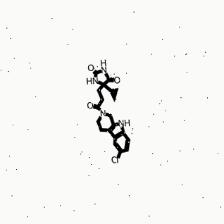 O=C1NC(=O)C(CCC(=O)N2CCc3c([nH]c4ccc(Cl)cc34)C2)(C2CC2)N1